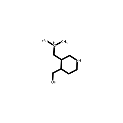 C[SiH](CC1CNCCC1CO)C(C)(C)C